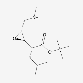 CNC[C@H]1O[C@@H]1[C@@H](CC(C)C)C(=O)OC(C)(C)C